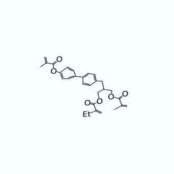 C=C(C)C(=O)OCC(COC(=O)C(=C)CC)Cc1ccc(-c2ccc(OC(=O)C(=C)C)cc2)cc1